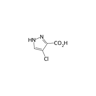 O=C(O)c1n[nH]cc1Cl